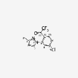 Cc1ccn(-c2cc(Cl)ccc2C(=O)C(F)(F)F)n1